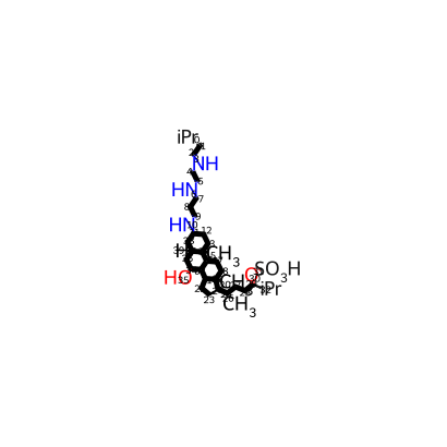 CC(C)CCNCCNCCCN[C@H]1CC[C@]2(C)C3CC[C@@]4(C)C(CC[C@@H]4[C@H](C)CC[C@@H](OS(=O)(=O)O)C(C)C)C3[C@H](O)C[C@@H]2C1